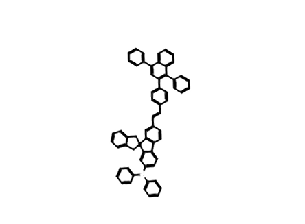 C(=C\c1ccc2c(c1)C1(Cc3ccccc3C1)c1cc(N(c3ccccc3)c3ccccc3)ccc1-2)/c1ccc(-c2cc(-c3ccccc3)c3ccccc3c2-c2ccccc2)cc1